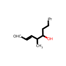 CC(C)CCC(O)C(C)C=CC=O